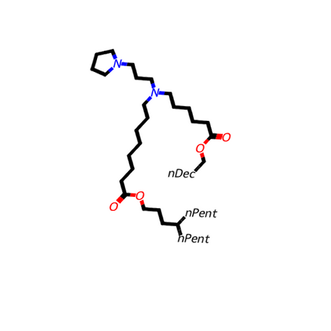 CCCCCCCCCCCOC(=O)CCCCCN(CCCCCCCC(=O)OCCCC(CCCCC)CCCCC)CCCN1CCCC1